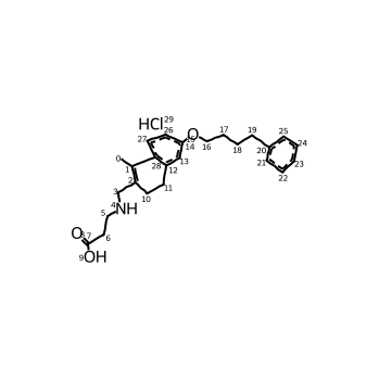 CC1=C(CNCCC(=O)O)CCc2cc(OCCCCc3ccccc3)ccc21.Cl